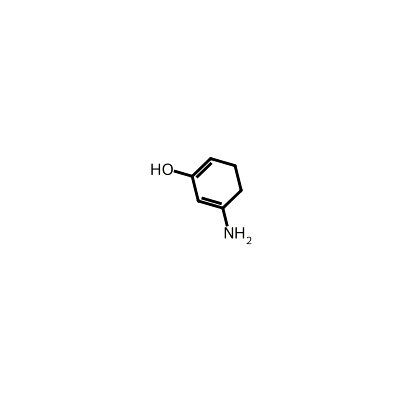 NC1=CC(O)=CCC1